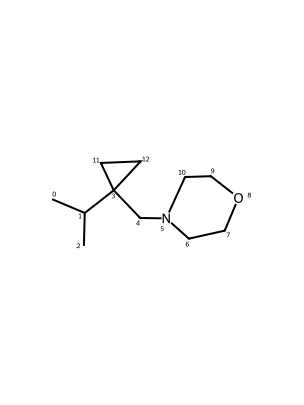 CC(C)C1(CN2CCOCC2)CC1